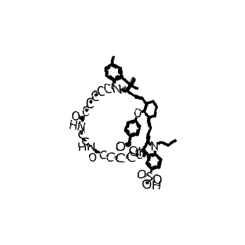 CCCN1/C2=C\C=C3/CCCC(=C3Oc3ccc(C(=O)O)cc3)/C=C/C3=[N+](CCCCCC(=O)NCCNC(=O)CCCCCC2(C)c2cc(S(=O)(=O)O)ccc21)c1ccc(C)cc1C3(C)C